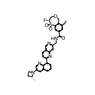 C[C@@H]1CCN1c1cnc2c(-c3ccc4cnc(CNC(=O)c5cc(F)c6c(c5)S(=O)(=O)[C@@H](F)COC6)cc4n3)cccc2c1